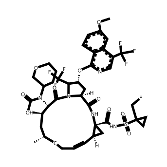 COc1ccc2c(O[C@@H]3C[C@H]4C(=O)N[C@]5(C(=O)NS(=O)(=O)C6(CF)CC6)C[C@H]5/C=C\CC[C@H](C)C[C@@H](C)[C@H](N(C(=O)O)C5CCCOC5)C(=O)N4C3C(F)(F)F)ncc(C(F)(F)F)c2c1